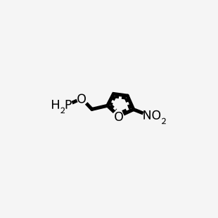 O=[N+]([O-])c1ccc(COP)o1